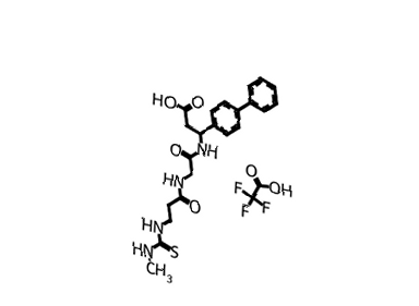 CNC(=S)NCCC(=O)NCC(=O)NC(CC(=O)O)c1ccc(-c2ccccc2)cc1.O=C(O)C(F)(F)F